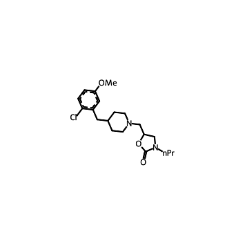 CCCN1CC(CN2CCC(Cc3cc(OC)ccc3Cl)CC2)OC1=O